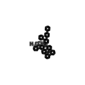 CC1(C)c2ccccc2-c2ccc(N(c3ccc(-c4ccc(-c5ccccc5)cc4)c(-c4ccccc4)c3)c3cccc4c3-c3ccccc3C43c4ccccc4-c4ccccc43)cc21